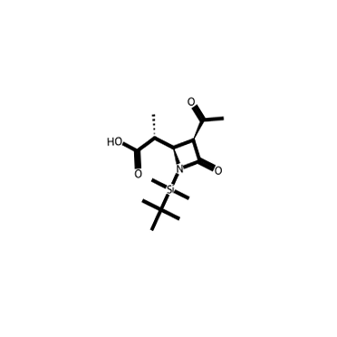 CC(=O)[C@H]1C(=O)N([Si](C)(C)C(C)(C)C)[C@H]1[C@@H](C)C(=O)O